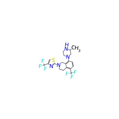 CC1CN(c2ccc(C(F)(F)F)c3c2CN(c2nc(C(F)(F)F)cs2)CC3)CCN1